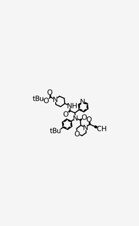 C#CC(=O)N1CCOCC1C(=O)N(c1ccc(C(C)(C)C)cc1)C(C(=O)NC1CCN(C(=O)OC(C)(C)C)CC1)c1cccnc1